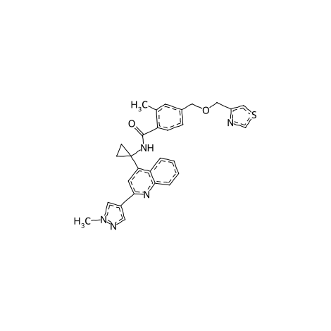 Cc1cc(COCc2cscn2)ccc1C(=O)NC1(c2cc(-c3cnn(C)c3)nc3ccccc23)CC1